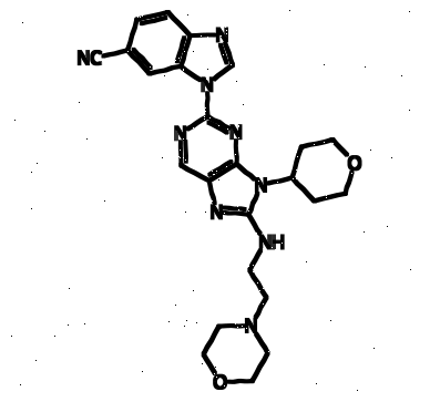 N#Cc1ccc2ncn(-c3ncc4nc(NCCN5CCOCC5)n(C5CCOCC5)c4n3)c2c1